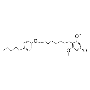 CCCCCc1ccc(OCCCCCCCCc2c(OC)cc(OC)cc2OC)cc1